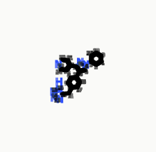 c1ccc(-n2cc(-c3ccc(Cc4nnn[nH]4)cc3)c(-c3ccncc3)n2)cc1